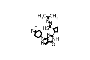 CC(C)=N/N=C(\S)[C@@H]1CC[C@H]1c1nc2c(cnn2C2CCC(F)(F)CC2)c(=O)[nH]1